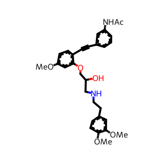 COc1ccc(C#Cc2cccc(NC(C)=O)c2)c(OCC(O)CNCCc2ccc(OC)c(OC)c2)c1